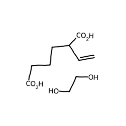 C=CC(CCCC(=O)O)C(=O)O.OCCO